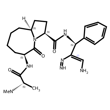 CN[C@@H](C)C(=O)N[C@H]1CCCC[C@H]2CC[C@@H](C(=O)N[C@H](/C(=C/N)N=N)c3ccccc3)N2C1=O